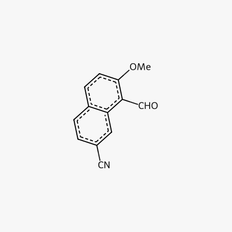 COc1ccc2ccc(C#N)cc2c1C=O